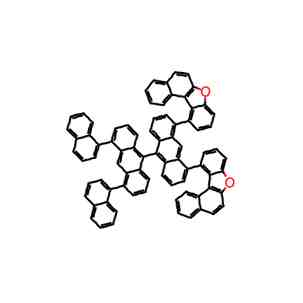 c1ccc2c(-c3cccc4c(-c5c6cccc(-c7cccc8oc9ccc%10ccccc%10c9c78)c6cc6c(-c7cccc8oc9ccc%10ccccc%10c9c78)cccc56)c5cccc(-c6cccc7ccccc67)c5cc34)cccc2c1